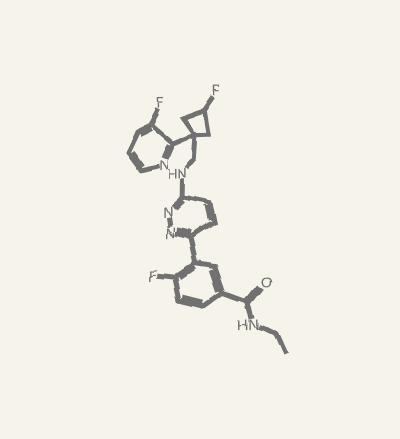 CCNC(=O)c1ccc(F)c(-c2ccc(NCC3(c4ncccc4F)CC(F)C3)nn2)c1